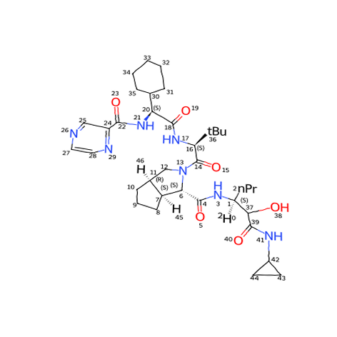 [2H][C@@](CCC)(NC(=O)[C@@H]1[C@H]2CCC[C@H]2CN1C(=O)[C@@H](NC(=O)[C@@H](NC(=O)c1cnccn1)C1CCCCC1)C(C)(C)C)C(O)C(=O)NC1CC1